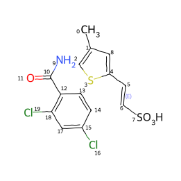 Cc1csc(/C=C/S(=O)(=O)O)c1.NC(=O)c1ccc(Cl)cc1Cl